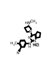 CN[C@H]1CCN(c2nc(Nc3ccc(C)c(C#N)c3)nc3c2CCC3)C1.Cl.Cl